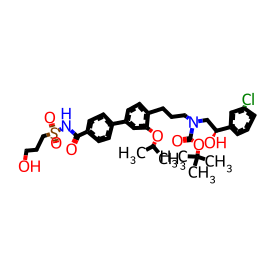 CC(C)Oc1cc(-c2ccc(C(=O)NS(=O)(=O)CCCO)cc2)ccc1CCCN(C[C@H](O)c1cccc(Cl)c1)C(=O)OC(C)(C)C